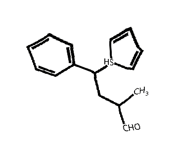 CC(C=O)CC(c1ccccc1)[SH]1C=CC=C1